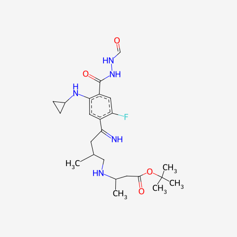 CC(CNC(C)CC(=O)OC(C)(C)C)CC(=N)c1cc(NC2CC2)c(C(=O)NNC=O)cc1F